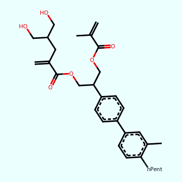 C=C(C)C(=O)OCC(COC(=O)C(=C)CC(CO)CO)c1ccc(-c2ccc(CCCCC)c(C)c2)cc1